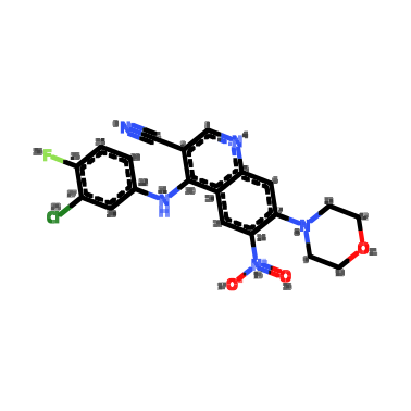 N#Cc1cnc2cc(N3CCOCC3)c([N+](=O)[O-])cc2c1Nc1ccc(F)c(Cl)c1